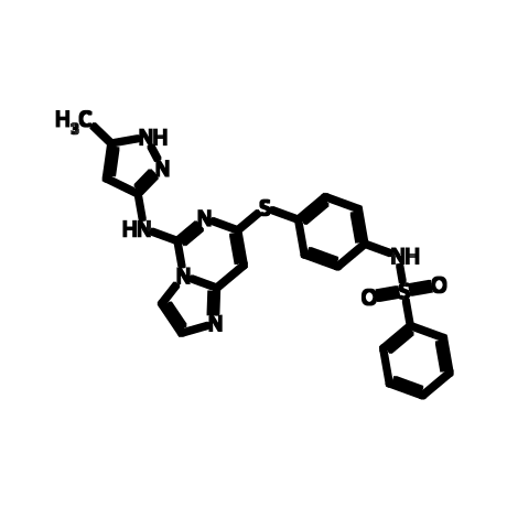 Cc1cc(Nc2nc(Sc3ccc(NS(=O)(=O)c4ccccc4)cc3)cc3nccn23)n[nH]1